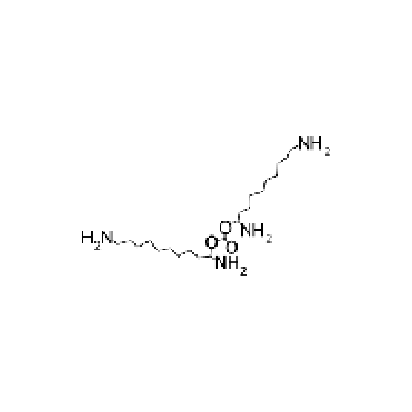 NCCCCCCCCCC(N)OC(=O)OC(N)CCCCCCCCCN